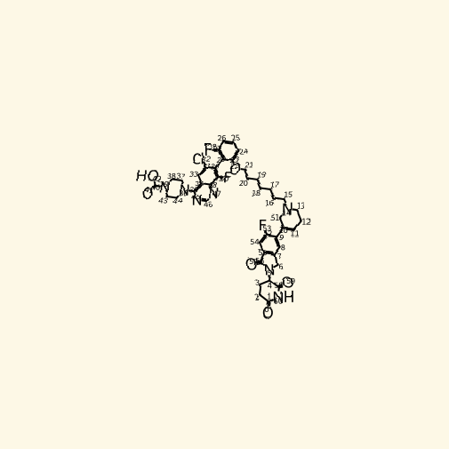 O=C1CCC(N2Cc3cc(C4CCCN(CCCCCCCOc5cccc(F)c5-c5c(Cl)cc6c(N7CCN(C(=O)O)CC7)ncnc6c5F)C4)c(F)cc3C2=O)C(=O)N1